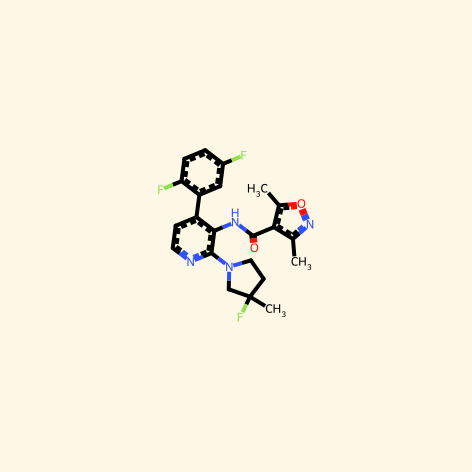 Cc1noc(C)c1C(=O)Nc1c(-c2cc(F)ccc2F)ccnc1N1CCC(C)(F)C1